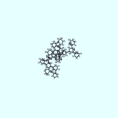 c1ccc(-n2c3ccccc3c3cccc(-c4ccc5c6cccnc6n(-c6nc(-c7cccc(-c8cccc(-n9c%10ccccc%10c%10cccc(-c%11ccc%12c%13cccnc%13n(-c%13ccc(-c%14cc(-c%15ccccn%15)nc(-c%15ccccn%15)c%14)cc%13)c%12c%11)c%109)c8)c7)c7ccccc7n6)c5c4)c32)cc1